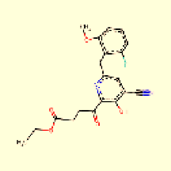 CCOC(=O)CCC(=O)c1nc(Cc2c(F)cccc2OC)cc(C#N)c1O